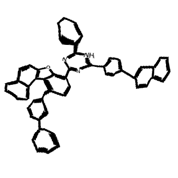 C1=CC(C2=NC(c3ccc(-c4cccc(-c5ccccc5)c4)c4c3oc3ccc5ccccc5c34)=NC(c3ccc(-c4ccc5ccccc5c4)cc3)N2)=CCC1